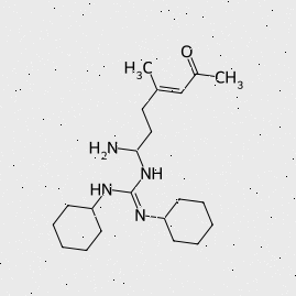 CC(=O)C=C(C)CCC(N)NC(=NC1CCCCC1)NC1CCCCC1